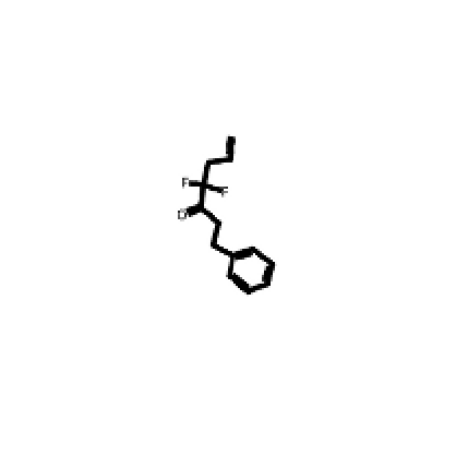 C=CCC(F)(F)C(=O)CCc1ccccc1